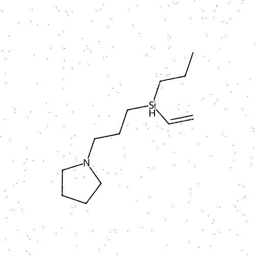 C=C[SiH](CCC)CCCN1CCCC1